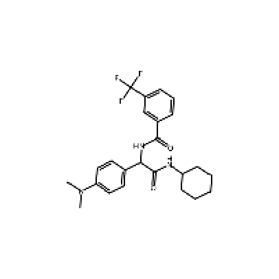 CN(C)c1ccc(C(NC(=O)c2cccc(C(F)(F)F)c2)C(=O)NC2CCCCC2)cc1